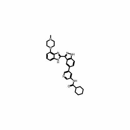 CN1CCN(c2cccc3[nH]c(-c4n[nH]c5ccc(-c6cncc(NC(=O)C7CCCCC7)c6)cc45)nc23)CC1